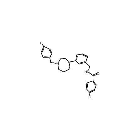 O=C(NCc1cccc(N2CCCN(Cc3ccc(F)cc3)CC2)c1)c1ccc(Cl)cc1